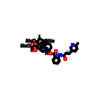 CCN1C[C@]2(OC(=O)c3ccccc3NC(=O)/C=C/c3ccc(C)nc3)CC[C@H](OC)C34[C@@H]1C(C[C@@H]32)[C@@](O)(C[C@@H](C)OC)[C@@]1(O)[C@@H](OC)[C@@H](C)C[C@@H]41